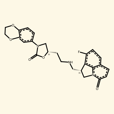 O=C1O[C@@H](CCNC[C@H]2Cn3c(=O)ccc4ccc(F)c2c43)CN1c1ccc2c(c1)OCCO2